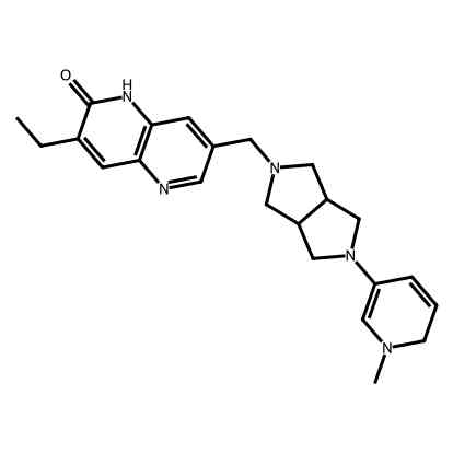 CCc1cc2ncc(CN3CC4CN(C5=CN(C)CC=C5)CC4C3)cc2[nH]c1=O